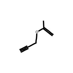 C#CCOC(=C)C